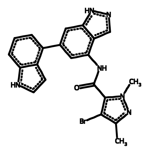 Cc1nn(C)c(C(=O)Nc2cc(-c3cccc4[nH]ccc34)cc3[nH]ncc23)c1Br